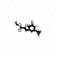 CCOC(=O)c1cc2cc(C3CC3)cc(F)c2o1